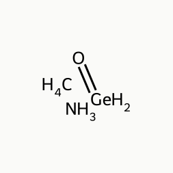 C.N.[O]=[GeH2]